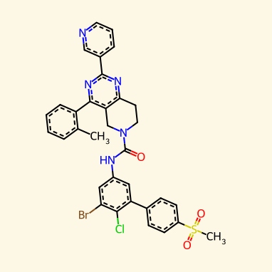 Cc1ccccc1-c1nc(-c2cccnc2)nc2c1CN(C(=O)Nc1cc(Br)c(Cl)c(-c3ccc(S(C)(=O)=O)cc3)c1)CC2